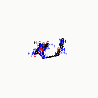 CCn1nc(C)cc1C(=O)/N=c1/[nH]c2cc(C(N)=O)cc(OC)c2n1CCCCn1/c(=N\C(=O)c2cc(C)nn2CC)[nH]c2cc(C(N)=O)cc(OCCCN3CCN(CCCCCCCCCc4ccc5c(N)c(C(=O)N[C@H]6CCc7cc(N8C[C@H]9CC[C@@H](C8)N9)ccc7C6)sc5n4)CC3)c21